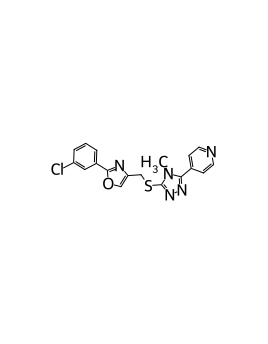 Cn1c(SCc2coc(-c3cccc(Cl)c3)n2)nnc1-c1ccncc1